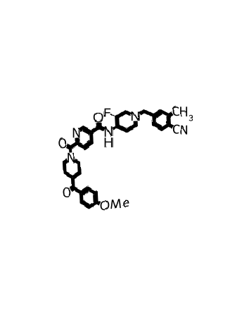 COc1ccc(C(=O)C2CCN(C(=O)c3ccc(C(=O)N[C@@H]4CCN(Cc5ccc(C#N)c(C)c5)C[C@H]4F)cn3)CC2)cc1